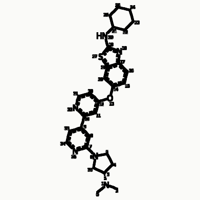 CN(C)[C@H]1CCN(c2cc(-c3cc(Oc4ccc5nc(NC6CCCCC6)sc5c4)ccn3)ccn2)C1